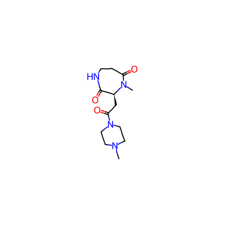 CN1CCN(C(=O)C[C@H]2C(=O)NCCC(=O)N2C)CC1